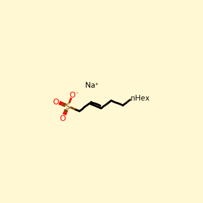 CCCCCCCCC=CCS(=O)(=O)[O-].[Na+]